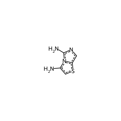 Nc1csc2cnc(N)n12